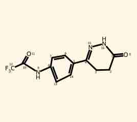 O=C1CCC(c2ccc(NC(=O)C(F)(F)F)cc2)=NN1